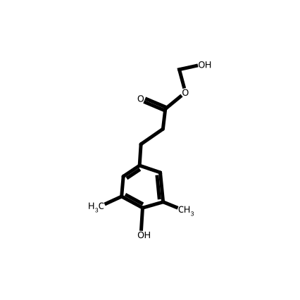 Cc1cc(CCC(=O)OCO)cc(C)c1O